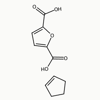 C1=CCCC1.O=C(O)c1ccc(C(=O)O)o1